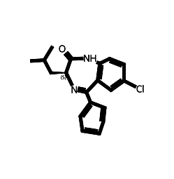 CC(C)C[C@@H]1N=C(c2ccccc2)c2cc(Cl)ccc2NC1=O